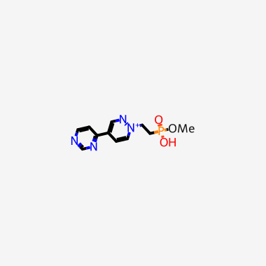 COP(=O)(O)CC[n+]1ccc(-c2ccncn2)cn1